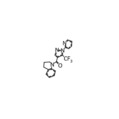 O=C(c1cnn(-c2ccccn2)c1C(F)(F)F)N1CCCc2ccccc21